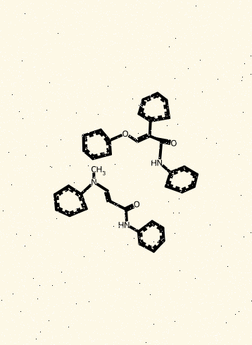 CN(C=CC(=O)Nc1ccccc1)c1ccccc1.O=C(Nc1ccccc1)C(=COc1ccccc1)c1ccccc1